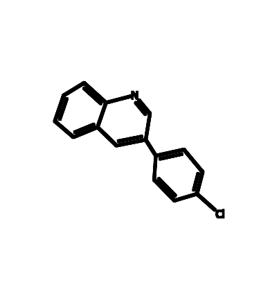 Clc1ccc(-c2cnc3ccccc3c2)cc1